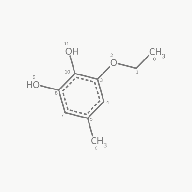 CCOc1cc(C)cc(O)c1O